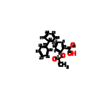 CC(=O)Oc1ccccc1C(=O)O.c1ccc(-c2ccccc2)cc1